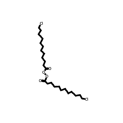 O=C(CCCCCCCCCCCCl)OOC(=O)CCCCCCCCCCCCl